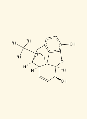 [2H]C([2H])([2H])N1CC[C@]23c4c5ccc(O)c4O[C@H]2[C@@H](O)C=C[C@H]3[C@H]1C5